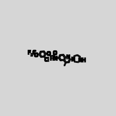 Cc1cc(N2CCCNCC2)nc2ccc(NC(=O)COc3ccc(OC(F)(F)F)cc3Cl)cc12